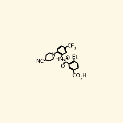 CCc1ccc(C(=O)O)cc1S(=O)(=O)Nc1cc(C(F)(F)F)ccc1N1CCC(C#N)CC1